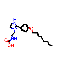 CCCCCCCCOc1ccc(C2=[N+](CCNC(=O)O)CCN2)cc1